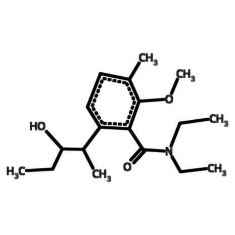 CCC(O)C(C)c1ccc(C)c(OC)c1C(=O)N(CC)CC